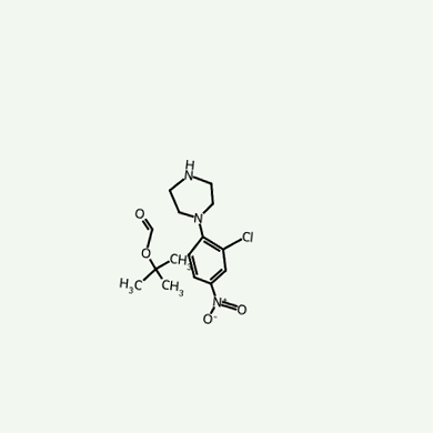 CC(C)(C)OC=O.O=[N+]([O-])c1ccc(N2CCNCC2)c(Cl)c1